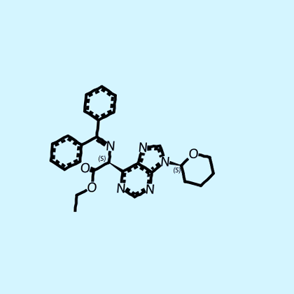 CCOC(=O)[C@@H](N=C(c1ccccc1)c1ccccc1)c1ncnc2c1ncn2[C@@H]1CCCCO1